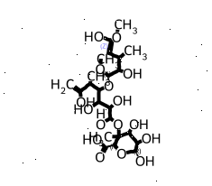 C=C(O)C(C)C(O[C@H](OC)C(O)C(C)/C=C(/O)OC)C(O)C(O)C(O)OC1(C)C(O)C(O)[C@H](O)O[C@H]1C(=O)O